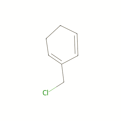 ClCC1=CCCC=C1